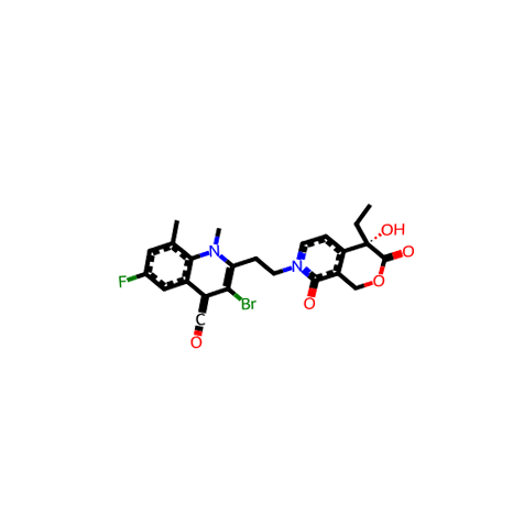 CC[C@@]1(O)C(=O)OCc2c1ccn(CCC1=C(Br)C(=C=O)c3cc(F)cc(C)c3N1C)c2=O